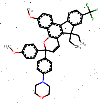 CCC1(CC)c2cc(C(F)(F)F)ccc2-c2c1c1c(c3cc(OC)ccc23)OC(c2ccc(OC)cc2)(c2ccc(N3CCOCC3)cc2)C=C1